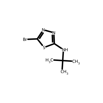 CC(C)(C)Nc1nnc(Br)s1